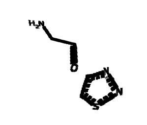 NCC=O.c1csnn1